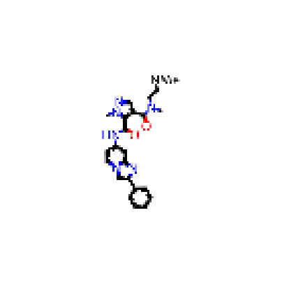 CNCCN(C)C(=O)c1cnn(C)c1C(=O)Nc1ccn2cc(-c3ccccc3)nc2c1